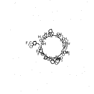 CC[C@H](C)[C@@H]1NC(=O)[C@H](CC(C)C)N(C)C(=O)C[C@@H](C(=O)N2C3CCC2COC3)N(C)C(=O)[C@H](C2CCCCC2)N(C)C(=O)C2(CCCC2)NC(=O)[C@@H]2CC(F)(F)CN2C(=O)[C@H](CCc2ccc(C(F)(F)F)c(Cl)c2)NC(=O)CN(C)C(=O)[C@H](CC2CCCCC2)N(C)C(=O)CN(C)C(=O)CN(C)C1=O